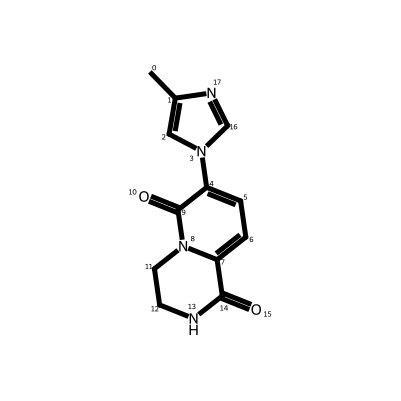 Cc1cn(-c2ccc3n(c2=O)CCNC3=O)cn1